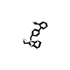 CCc1nc2cccnc2n1Cc1ccc(-c2ccccc2C#N)cc1